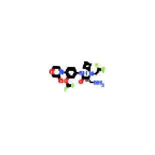 NC[C@H](C(=O)Nc1ccc(N2CCOCC2=O)c(OC(F)F)c1)N(CC(F)F)C1CCC1